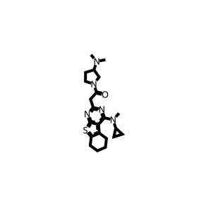 CN(C)C1CCN(C(=O)Cc2nc(N(C)C3CC3)c3c4c(sc3n2)CCCC4)C1